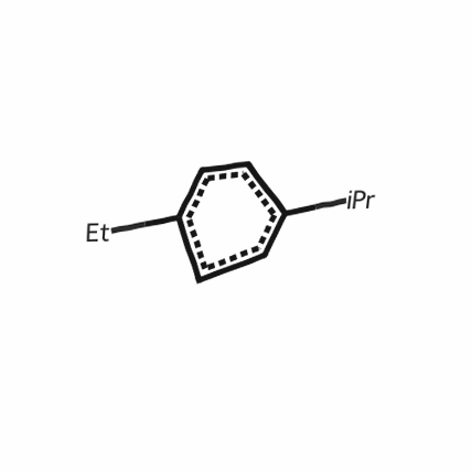 [CH2]Cc1ccc(C(C)C)cc1